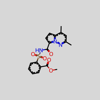 COC(=O)c1ccccc1S(=O)(=O)NC(=O)c1ccc2c(C)cc(C)nn12